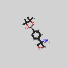 CC1(C)OB(c2ccc(C3(N)COC3)cc2)OC1(C)C